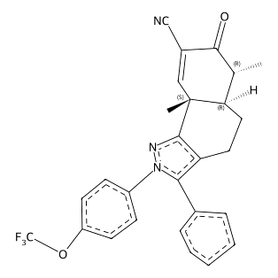 C[C@H]1C(=O)C(C#N)=C[C@@]2(C)c3nn(-c4ccc(OC(F)(F)F)cc4)c(-c4ccccc4)c3CC[C@H]12